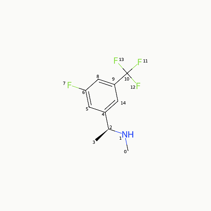 CN[C@@H](C)c1cc(F)cc(C(F)(F)F)c1